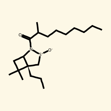 CCCCCCCC(C)C(=O)N1C2CC(C)(C)[C@@]2(CCC)C[S+]1[O-]